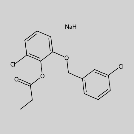 CCC(=O)Oc1c(Cl)cccc1OCc1cccc(Cl)c1.[NaH]